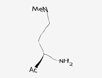 CNCC[C@@H](N)C(C)=O